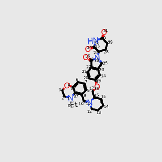 CCN1CCOc2cccc(CN3CCCCC3COc3ccc4c(c3)CN(C3CCC(=O)NC3=O)C4=O)c21